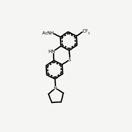 CC(=O)Nc1cc(C(F)(F)F)cc2c1Nc1ccc(N3CCCC3)cc1S2